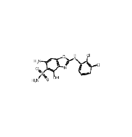 Nc1cc2oc(Nc3cccc(Cl)c3Cl)nc2c(O)c1S(N)(=O)=O